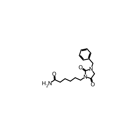 NC(=O)CCCCCN1C(=O)CN(Cc2ccccc2)C1=O